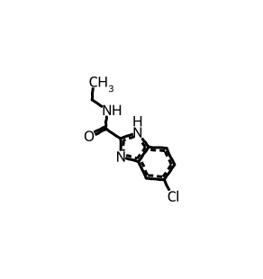 CCNC(=O)c1nc2cc(Cl)ccc2[nH]1